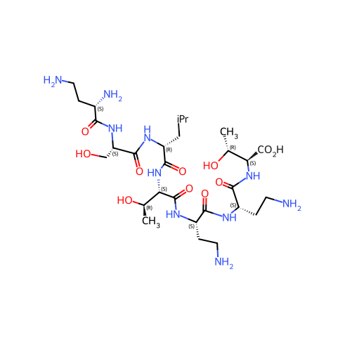 CC(C)C[C@@H](NC(=O)[C@H](CO)NC(=O)[C@@H](N)CCN)C(=O)N[C@H](C(=O)N[C@@H](CCN)C(=O)N[C@@H](CCN)C(=O)N[C@H](C(=O)O)[C@@H](C)O)[C@@H](C)O